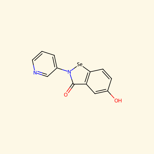 O=c1c2cc(O)ccc2[se]n1-c1cccnc1